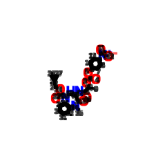 C[C@H](OC(=O)Oc1ccc([N+](=O)[O-])cc1)C(=O)N[C@H]1CN(C(=O)OCC2CC2)c2ccccc2N(C)C1=O